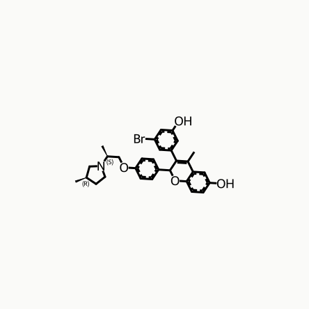 CC1=C(c2cc(O)cc(Br)c2)C(c2ccc(OC[C@H](C)N3CC[C@@H](C)C3)cc2)Oc2ccc(O)cc21